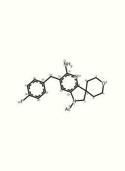 CC(=O)N1CC2(CCOCC2)c2nc(N)c(Cc3ccc(F)cc3)cc21